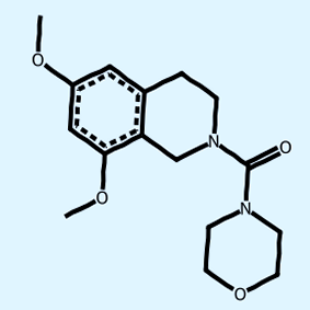 COc1cc2c(c(OC)c1)CN(C(=O)N1CCOCC1)CC2